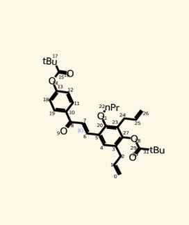 C=CCc1cc(/C=C/C(=O)c2ccc(OC(=O)C(C)(C)C)cc2)c(OCCC)c(CC=C)c1OC(=O)C(C)(C)C